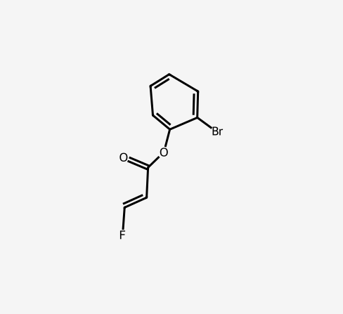 O=C(C=CF)Oc1ccccc1Br